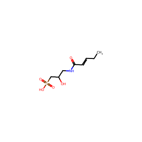 CCC=CC(=O)NCC(O)CS(=O)(=O)O